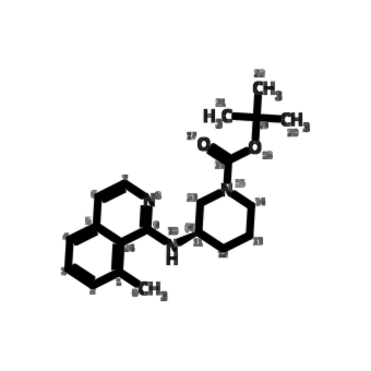 Cc1cccc2ccnc(N[C@@H]3CCCN(C(=O)OC(C)(C)C)C3)c12